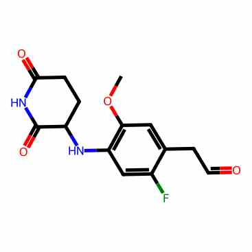 COc1cc(CC=O)c(F)cc1NC1CCC(=O)NC1=O